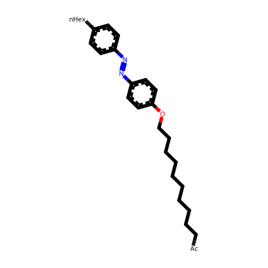 CCCCCCc1ccc(/N=N/c2ccc(OCCCCCCCCCCC(C)=O)cc2)cc1